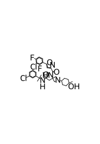 CC1(O)CCC(N2CC(CC(=O)NC(C)(C)c3cc(Cl)cc(Cl)c3)(NC(=O)c3cc(-c4ccc(F)cc4F)on3)C2)CC1